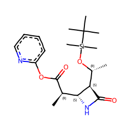 C[C@@H](O[Si](C)(C)C(C)(C)C)[C@H]1C(=O)N[C@@H]1[C@@H](C)C(=O)Oc1ccccn1